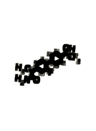 C[C@H](C(N)=O)c1ccc(-c2ccc([C@@H](O)C(F)(F)F)cc2)c(F)c1